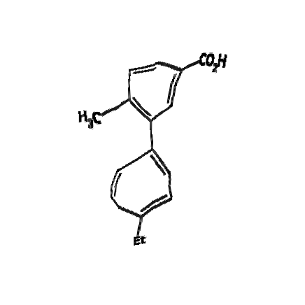 [CH2]Cc1ccc(-c2cc(C(=O)O)ccc2C)cc1